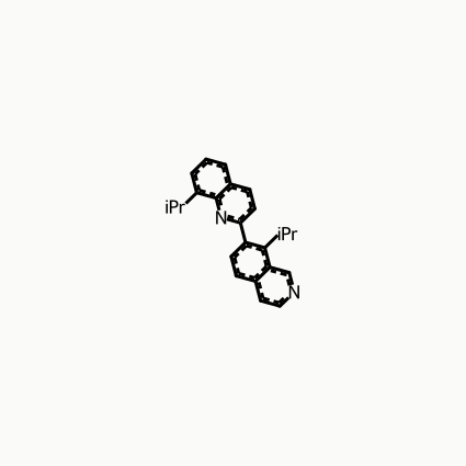 CC(C)c1c(-c2ccc3cccc(C(C)C)c3n2)ccc2ccncc12